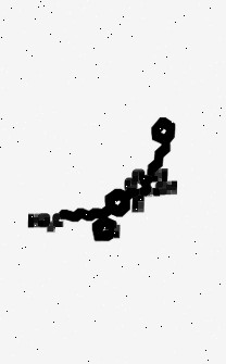 O=C(O)CCCCC=C(c1ccc(C(=O)N[C@@H](CO)C(=O)NCCCCC2CCCCC2)cc1)c1cccnc1